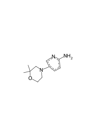 CC1(C)CN(c2ccc(N)nc2)CCO1